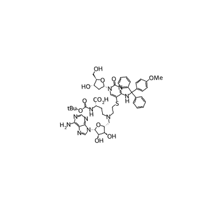 COc1ccc(C(Nc2nc(=O)n([C@@H]3C[C@H](O)[C@@H](CO)O3)cc2SCCN(CC[C@H](NC(=O)OC(C)(C)C)C(=O)O)C[C@H]2O[C@@H](n3cnc4c(N)ncnc43)[C@H](O)[C@@H]2O)(c2ccccc2)c2ccccc2)cc1